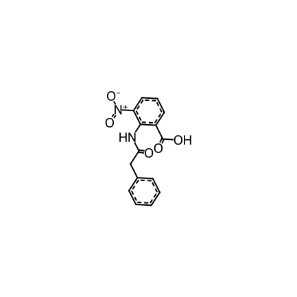 O=C(Cc1ccccc1)Nc1c(C(=O)O)cccc1[N+](=O)[O-]